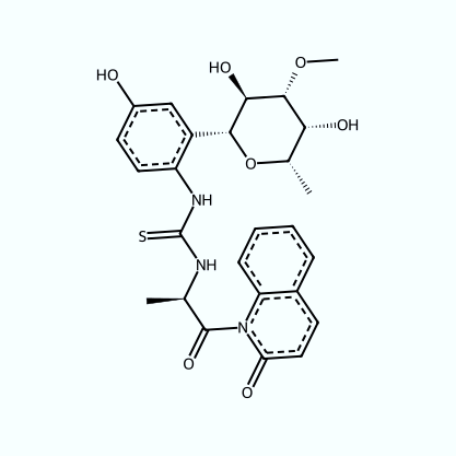 CO[C@@H]1[C@H](O)[C@H](C)O[C@H](c2cc(O)ccc2NC(=S)N[C@H](C)C(=O)n2c(=O)ccc3ccccc32)[C@H]1O